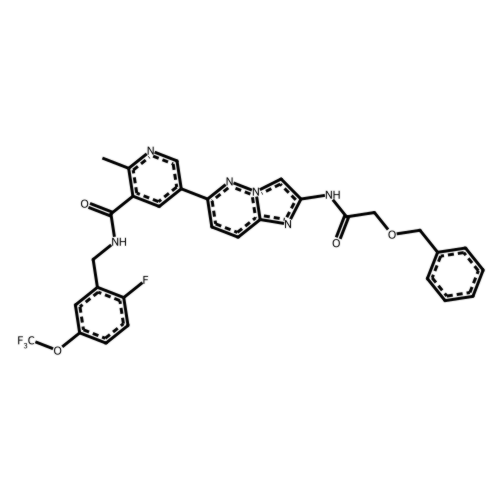 Cc1ncc(-c2ccc3nc(NC(=O)COCc4ccccc4)cn3n2)cc1C(=O)NCc1cc(OC(F)(F)F)ccc1F